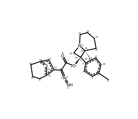 Cc1ccc([C@]2(OC(=O)C(=[N+]=N)c3cc4sc3CCC4)CN3CCCC[C@H]32)cc1